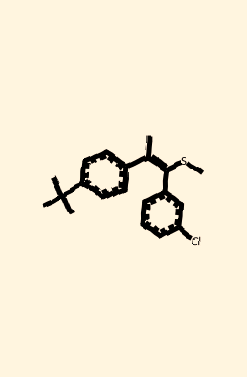 CS/C(=C(\C)c1ccc(C(C)(C)C)cc1)c1cccc(Cl)c1